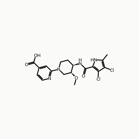 CO[C@H]1CN(c2cc(C(=O)O)ccn2)CC[C@H]1NC(=O)c1[nH]c(C)c(Cl)c1Cl